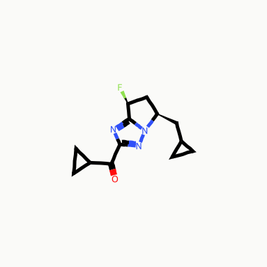 O=C(c1nc2n(n1)[C@H](CC1CC1)C[C@@H]2F)C1CC1